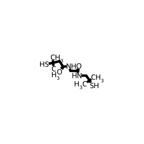 CC(C)(S)CNC(=O)CNC(=O)CC(C)(C)S